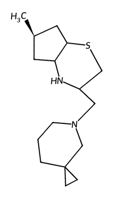 C[C@@H]1CC2NC(CN3CCCC4(CC4)C3)CSC2C1